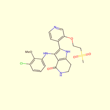 COc1c(Cl)cccc1Nc1c(-c2ccncc2OCCS(C)(=O)=O)[nH]c2c1C(=O)NCC2